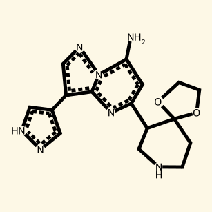 Nc1cc(C2CNCCC23OCCO3)nc2c(-c3cn[nH]c3)cnn12